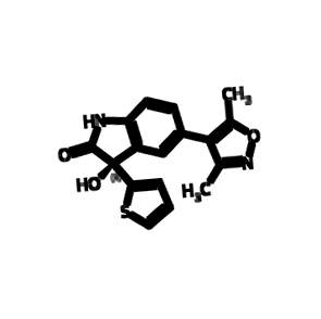 Cc1noc(C)c1-c1ccc2c(c1)[C@](O)(c1cccs1)C(=O)N2